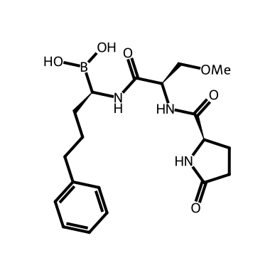 COC[C@@H](NC(=O)[C@H]1CCC(=O)N1)C(=O)N[C@@H](CCCc1ccccc1)B(O)O